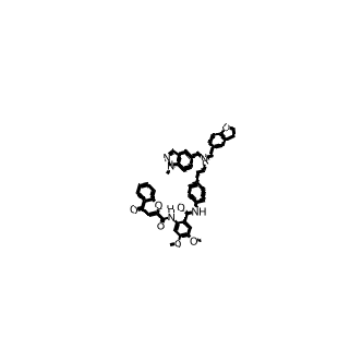 COc1cc(NC(=O)c2cc(=O)c3ccccc3o2)c(C(=O)Nc2ccc(CCN(Cc3ccc4c(c3)CCO4)Cc3ccc4c(cnn4C)c3)cc2)cc1OC